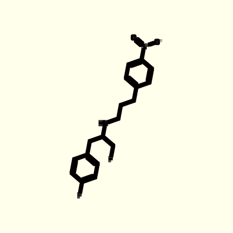 O=[N+]([O-])c1ccc(CCCNC(CF)Cc2ccc(F)cc2)cc1